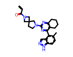 C=CC(=O)N1CC2(CCN(c3nc4c(c(-c5c(C)ccc6[nH]ncc56)n3)CCCC4)C2)C1